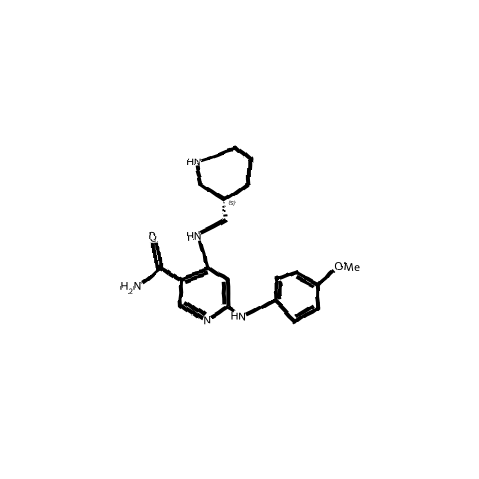 COc1ccc(Nc2cc(NC[C@H]3CCCNC3)c(C(N)=O)cn2)cc1